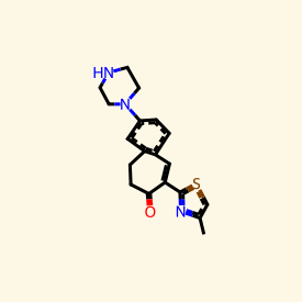 Cc1csc(C2=Cc3ccc(N4CCNCC4)cc3CCC2=O)n1